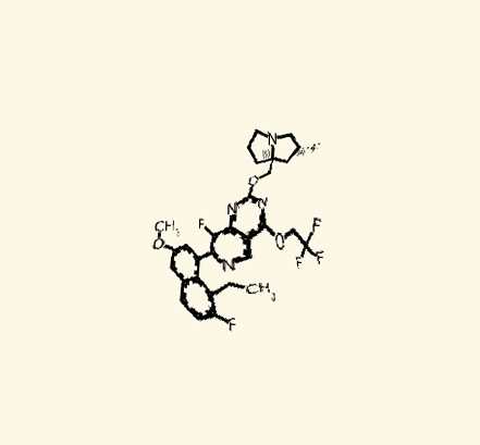 CCc1c(F)ccc2cc(OC)cc(-c3ncc4c(OCC(F)(F)F)nc(OC[C@@]56CCCN5C[C@H](F)C6)nc4c3F)c12